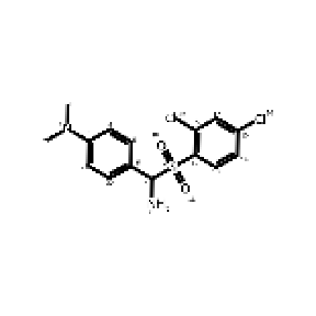 CN(C)c1ccc(C(N)S(=O)(=O)c2ccc(Cl)cc2Cl)cc1